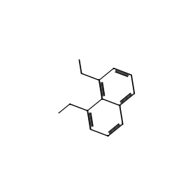 FCc1cccc2cccc(CF)c12